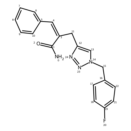 NC(=O)C(=Cc1ccccc1)Cc1cn(Cc2ccc(F)cc2)nn1